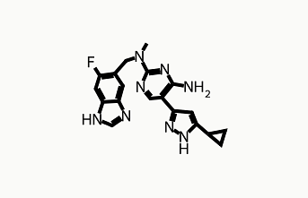 CN(Cc1cc2nc[nH]c2cc1F)c1ncc(-c2cc(C3CC3)[nH]n2)c(N)n1